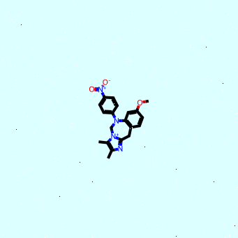 COc1ccc2c(c1)N(c1ccc([N+](=O)[O-])cc1)C[N+]1C(=NC(C)=C1C)C2